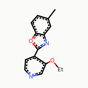 CCOc1cnccc1-c1nc2cc(C)ccc2o1